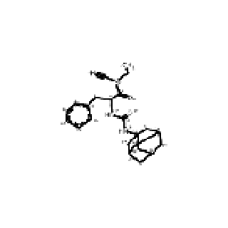 CCN(C#N)C(=O)C(Cc1ccccc1)NC(=O)NC12CC3CC(CC(C3)C1)C2